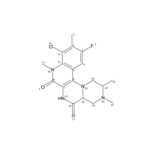 Cc1c(F)cc2c3c(c(=O)n(C)c2c1Cl)NC(=O)C1CN(C)C(C)CN31